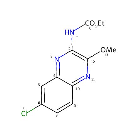 CCOC(=O)Nc1nc2cc(Cl)ccc2nc1OC